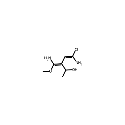 CO/C(N)=C(/C=C(\N)Cl)C(C)O